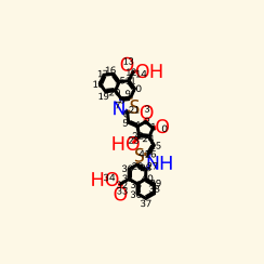 O=C1C(=O)/C(=C\c2nc3c(cc(C(=O)O)c4ccccc43)s2)C(O)=C1/C=C1/Nc2c(cc(C(=O)O)c3ccccc23)S1